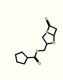 O=C(OCC1CN2C(=O)CC2O1)C1CCCC1